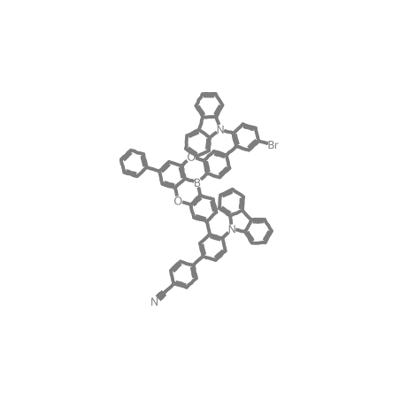 N#Cc1ccc(-c2ccc(-n3c4ccccc4c4ccccc43)c(-c3ccc4c(c3)Oc3cc(-c5ccccc5)cc5c3B4c3ccc(-c4cc(Br)ccc4-n4c6ccccc6c6ccccc64)cc3O5)c2)cc1